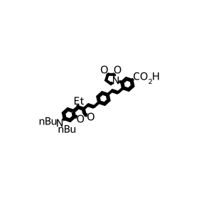 CCCCN(CCCC)c1ccc2c(CC)c(/C=C/c3ccc(/C=C/c4ccc(C(=O)O)cc4N4CCC(=O)C4=O)cc3)c(=O)oc2c1